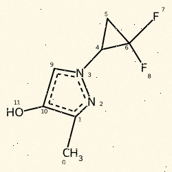 Cc1nn(C2CC2(F)F)cc1O